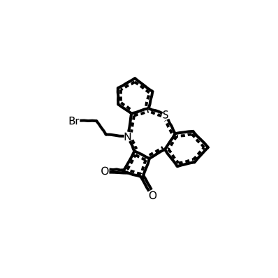 O=c1c(=O)c2c1c1ccccc1sc1ccccc1n2CCBr